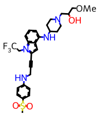 COCC(O)CN1CCC(Nc2cccc3c2cc(C#CCNc2ccc(S(C)(=O)=O)cc2)n3CC(F)(F)F)CC1